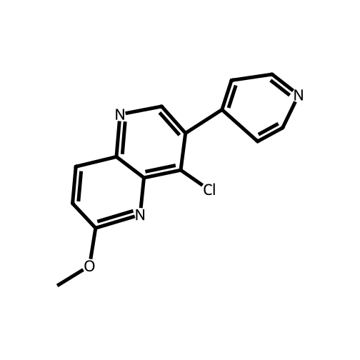 COc1ccc2ncc(-c3ccncc3)c(Cl)c2n1